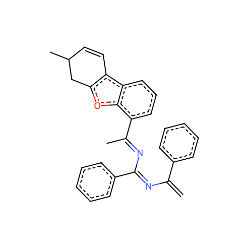 C=C(/N=C(\N=C(/C)c1cccc2c3c(oc12)CC(C)C=C3)c1ccccc1)c1ccccc1